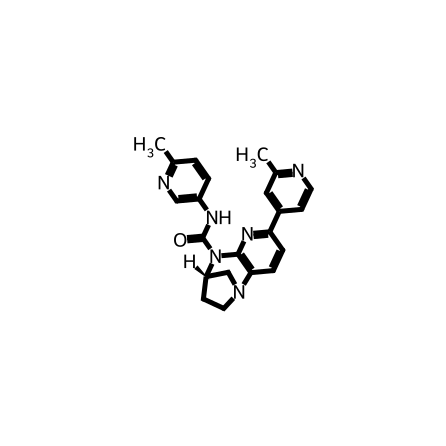 Cc1ccc(NC(=O)N2c3nc(-c4ccnc(C)c4)ccc3N3CC[C@H]2C3)cn1